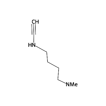 C#CNCCCCNC